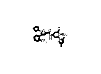 Cc1cc(C)n(CCC(CC(=O)OC(C)(C)C)NC(=O)c2cc(-c3ccccc3C(F)(F)F)n(C3CCCC3)n2)n1